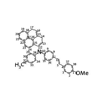 COc1ccc(C=Cc2ccc(N(C3=CCC4=CCc5cccc6ccc3c4c56)c3ccc(C)cc3)cc2)cc1